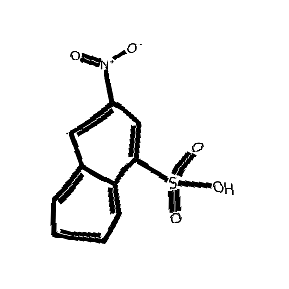 O=[N+]([O-])c1[c]c2ccccc2c(S(=O)(=O)O)c1